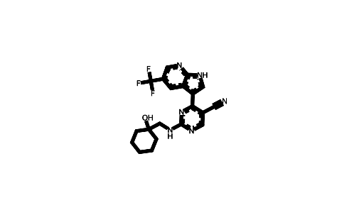 N#Cc1cnc(NCC2(O)CCCCC2)nc1-c1c[nH]c2ncc(C(F)(F)F)cc12